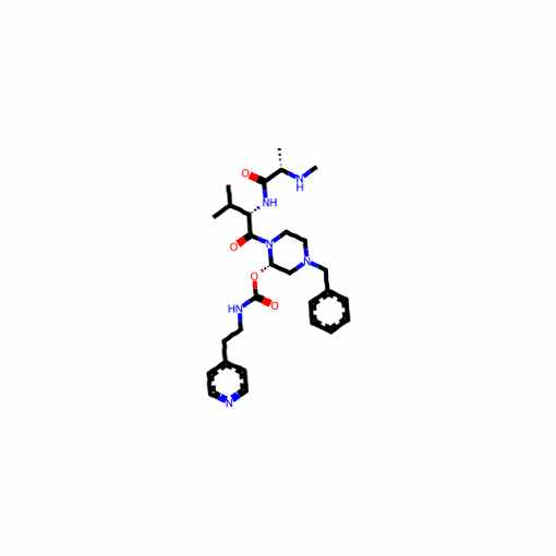 CN[C@@H](C)C(=O)N[C@H](C(=O)N1CCN(Cc2ccccc2)C[C@@H]1OC(=O)NCCc1ccncc1)C(C)C